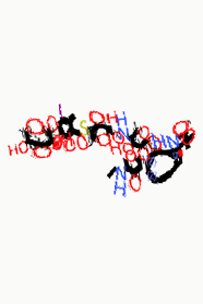 CCN[C@H]1CO[C@@H](O[C@H]2[C@H](O[C@H]3/C=C\C=C/C#CC4CCC(NC(=O)OC)=C3/C4=C\CC(C)(C)C)O[C@@H](C)[C@@H](NO[C@H]3C[C@H](O)[C@H](SC(=O)c4c(C)c(I)c(O[C@@H]5O[C@@H](C)[C@H](O)[C@@H](OC)[C@H]5O)c(OC)c4OC)[C@@H](C)O3)[C@@H]2O)C[C@@H]1OC